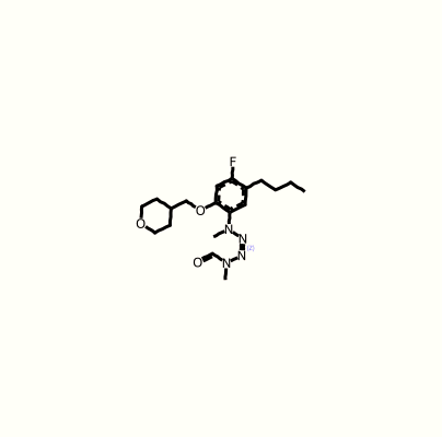 CCCCc1cc(N(C)/N=N\N(C)C=O)c(OCC2CCOCC2)cc1F